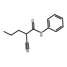 CCCC(C#N)C(=O)Nc1ccccc1